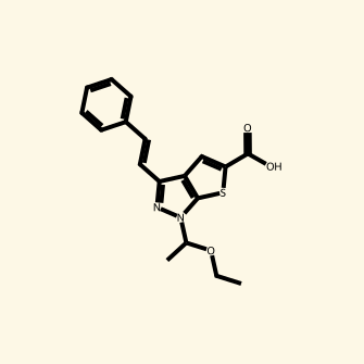 CCOC(C)n1nc(C=Cc2ccccc2)c2cc(C(=O)O)sc21